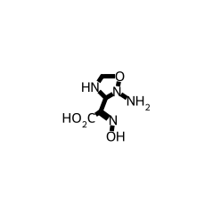 NN1OCNC1/C(=N/O)C(=O)O